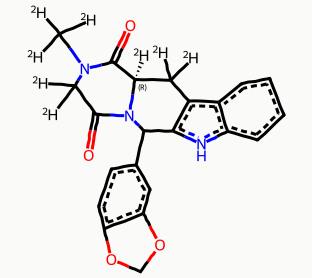 [2H]C([2H])([2H])N1C(=O)[C@]2([2H])N(C(=O)C1([2H])[2H])C(c1ccc3c(c1)OCO3)c1[nH]c3ccccc3c1C2([2H])[2H]